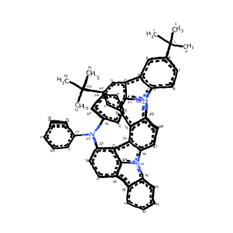 CC(C)(C)c1ccc2c(c1)c1cc(C(C)(C)C)cc3c4c5c6c(N(c7ccccc7)c7ccccc7)ccc7c8ccccc8n(c5ccc4n2c13)c76